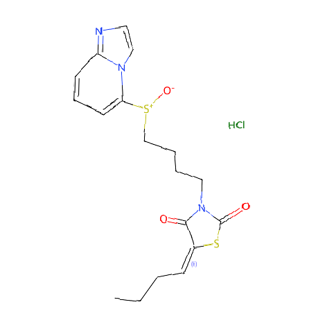 CCC/C=C1/SC(=O)N(CCCC[S+]([O-])c2cccc3nccn23)C1=O.Cl